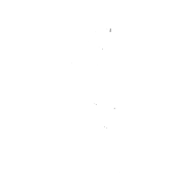 O=C1CN(c2c(O)cc3c(c2F)C[C@H](CNCCC2CC2)N3)S(=O)(=O)N1